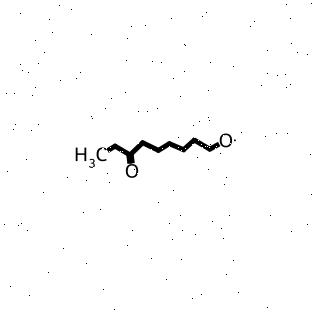 CCC(=O)CCCCCC[O]